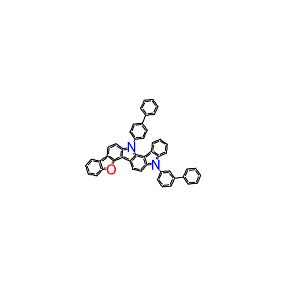 c1ccc(-c2ccc(-n3c4ccc5c6ccccc6oc5c4c4ccc5c(c6ccccc6n5-c5cccc(-c6ccccc6)c5)c43)cc2)cc1